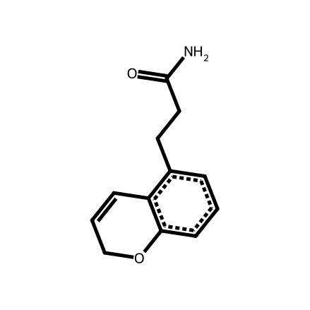 NC(=O)CCc1cccc2c1C=CCO2